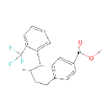 COC(=O)c1ccc2c(c1)C(c1ccccc1C(F)(F)F)C(C)CC2